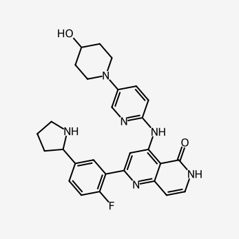 O=c1[nH]ccc2nc(-c3cc(C4CCCN4)ccc3F)cc(Nc3ccc(N4CCC(O)CC4)cn3)c12